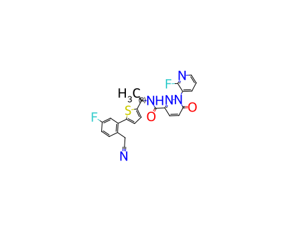 C[C@@H](NC(=O)c1ccc(=O)n(-c2cccnc2F)n1)c1ccc(-c2cc(F)ccc2CC#N)s1